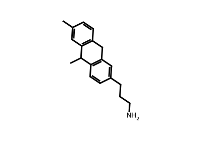 Cc1ccc2c(c1)C(C)c1ccc(CCCN)cc1C2